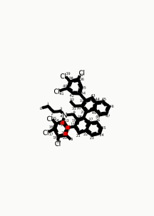 CCCCN(CCCC)Cc1c(-c2cc(Cl)c(Cl)c(Cl)c2)cc2ccccc2c1-c1c(CC)c(-c2cc(Cl)c(Cl)c(Cl)c2)cc2ccccc12